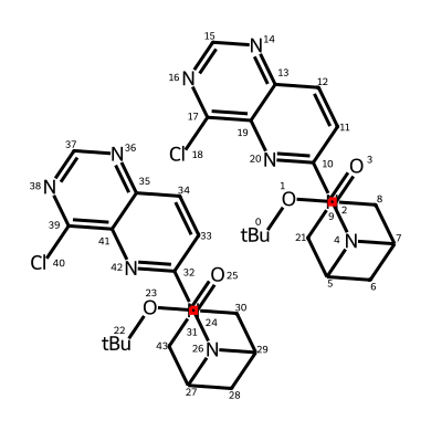 CC(C)(C)OC(=O)N1C2CC1CN(c1ccc3ncnc(Cl)c3n1)C2.CC(C)(C)OC(=O)N1C2CC1CN(c1ccc3ncnc(Cl)c3n1)C2